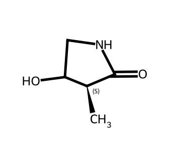 C[C@@H]1C(=O)NCC1O